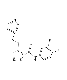 O=C(Nc1ccc(F)c(F)c1)c1sccc1SCc1ccncc1